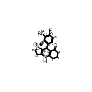 O=C1CCCC2=C1C(c1ccc(F)c(Br)c1)C1=C(CCS1(=O)=O)N2